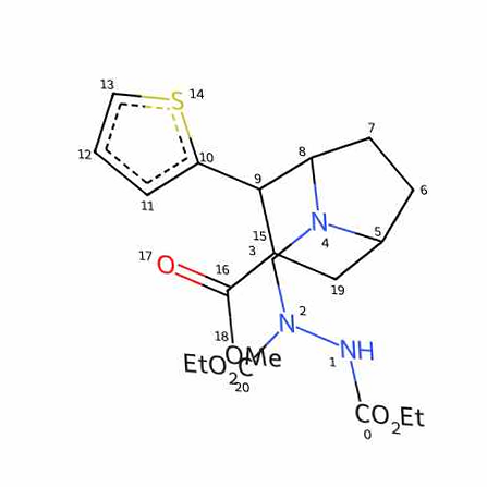 CCOC(=O)NN(CN1C2CCC1C(c1cccs1)C(C(=O)OC)C2)C(=O)OCC